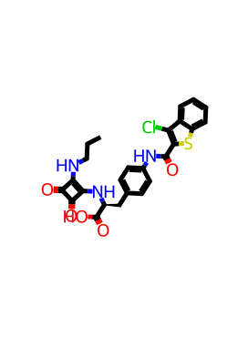 CCCNc1c(N[C@@H](Cc2ccc(NC(=O)c3sc4ccccc4c3Cl)cc2)C(=O)O)c(=O)c1=O